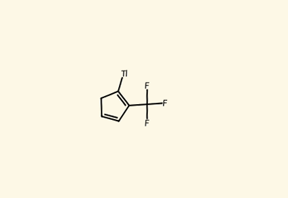 FC(F)(F)C1=[C]([Tl])CC=C1